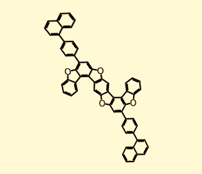 c1ccc2c(-c3ccc(-c4cc5oc6cc7c(cc6c5c5c4oc4ccccc45)oc4cc(-c5ccc(-c6cccc8ccccc68)cc5)c5oc6ccccc6c5c47)cc3)cccc2c1